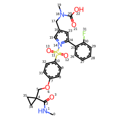 CNC(=O)C1(COc2ccc(S(=O)(=O)n3cc(CN(C)C(=O)O)cc3-c3ccccc3F)cc2)CC1